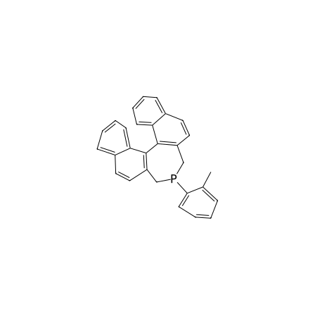 Cc1ccccc1P1Cc2ccc3ccccc3c2-c2c(ccc3ccccc23)C1